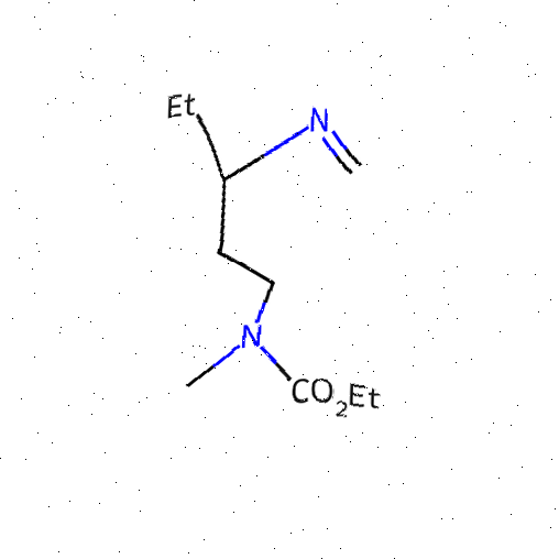 C=NC(CC)CCN(C)C(=O)OCC